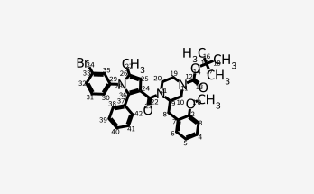 COc1ccccc1CC1CN(C(=O)OC(C)(C)C)CCN1C(=O)c1cc(C)n(-c2cccc(Br)c2)c1-c1ccccc1